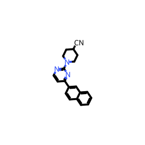 N#CC1CCN(c2nccc(-c3ccc4ccccc4c3)n2)CC1